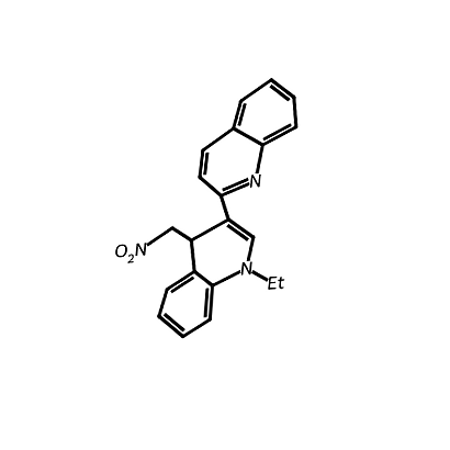 CCN1C=C(c2ccc3ccccc3n2)C(C[N+](=O)[O-])c2ccccc21